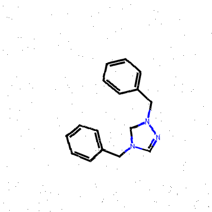 C1=NN(Cc2ccccc2)CN1Cc1ccccc1